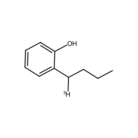 [3H]C(CCC)c1ccccc1O